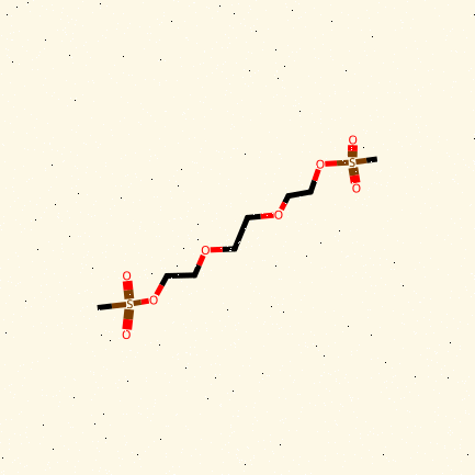 CS(=O)(=O)OCCOCCOCCOS(C)(=O)=O